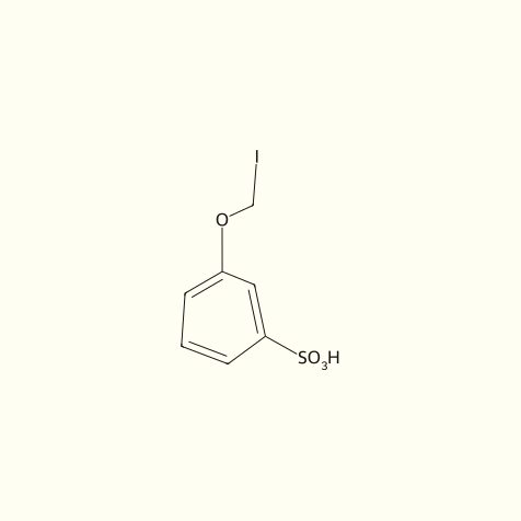 O=S(=O)(O)c1cccc(OCI)c1